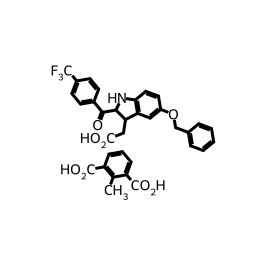 Cc1c(C(=O)O)cccc1C(=O)O.O=C(O)CC1c2cc(OCc3ccccc3)ccc2NC1C(=O)c1ccc(C(F)(F)F)cc1